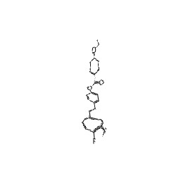 CCO[C@H]1CC[C@H](C(=O)Oc2ccc(CCc3ccc(F)c(F)c3)cc2)CC1